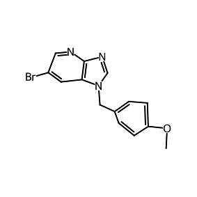 COc1ccc(Cn2cnc3ncc(Br)cc32)cc1